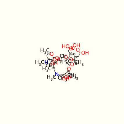 CC[C@H]1OC(=O)[C@H](C)[C@@H](OC2O[C@@H](C)[C@H](CC(=O)O)[C@@H](CC(=O)O)[C@@H]2CC(=O)O)[C@H](C)[C@@H](O[C@@H]2O[C@H](C)C[C@H](N(C)C)[C@H]2O)[C@](C)(O)C[C@@H](C)CN(C)[C@H](C)[C@@H](O)[C@]1(C)O